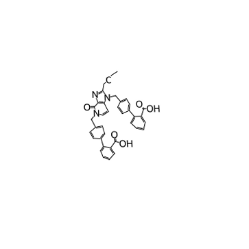 CCCCc1nc2c(=O)n(Cc3ccc(-c4ccccc4C(=O)O)cc3)ccc2n1Cc1ccc(-c2ccccc2C(=O)O)cc1